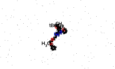 C[C@@H](CCOCCCc1ncn(-c2nn(C3CCCCO3)c3ccc(O[Si](C)(C)C(C)(C)C)cc23)n1)OCc1ccccc1